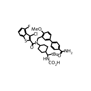 COc1ccc(-c2ccc(C(N)=O)cc2)cc1CN(C(=O)c1sc2cccc(F)c2c1Cl)C1CCC(C(NC(=O)O)C(C)(C)C)CC1